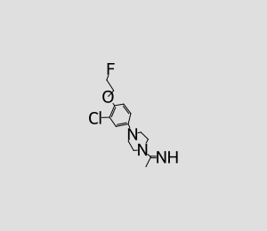 CC(=N)N1CCN(c2ccc(OCCF)c(Cl)c2)CC1